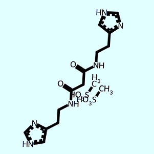 CS(=O)(=O)O.CS(=O)(=O)O.O=C(CC(=O)NCCc1c[nH]cn1)NCCc1c[nH]cn1